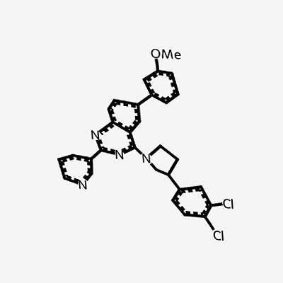 COc1cccc(-c2ccc3nc(-c4cccnc4)nc(N4CCC(c5ccc(Cl)c(Cl)c5)C4)c3c2)c1